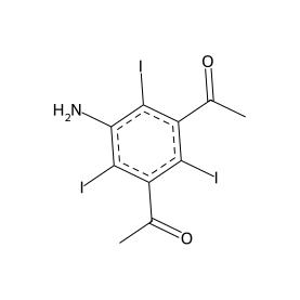 CC(=O)c1c(I)c(N)c(I)c(C(C)=O)c1I